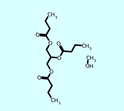 CCCC(=O)OCC(COC(=O)CCC)OC(=O)CCC.CO